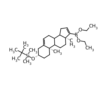 CCOB(OCC)C1=CCC2C3CC=C4C[C@@H](O[Si](C)(C)C(C)(C)C)CC[C@]4(C)C3CC[C@]12C